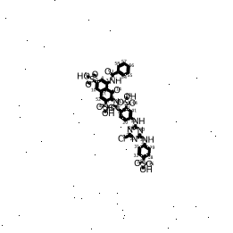 O=C(Nc1cc(S(=O)(=O)O)cc2c1C(=O)C(=NNc1ccc(Nc3nc(Cl)nc(Nc4ccc(S(=O)(=O)O)cc4)n3)cc1S(=O)(=O)O)C(S(=O)(=O)O)=C2)c1ccccc1